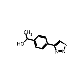 CC(O)c1ccc(-c2csnn2)cc1